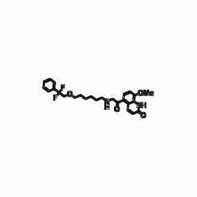 COc1ccc(C(=O)CNCCCCCCOCC(F)(F)c2ccccc2)c2ccc(=O)[nH]c12